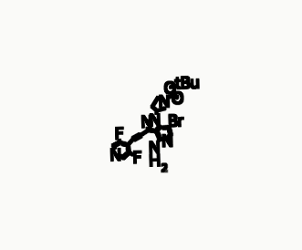 CC(C)(C)OC(=O)N1CCC(n2nc(C#Cc3c(F)cncc3F)c3c(N)ncc(Br)c32)C1